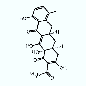 NC(=O)C1=C(O)C[C@@H]2C[C@@H]3Cc4c(I)ccc(O)c4C(=O)C3=C(O)[C@]2(O)C1=O